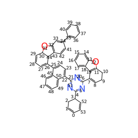 C1=CCC(c2nc(C3=CCCc4oc5ccccc5c43)nc(-c3ccc(C4=CC=CC5Oc6cc(-c7ccccc7)ccc6C45)c4ccccc34)n2)C=C1